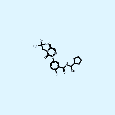 CC(C)(O)Cn1c(=O)cnn(-c2ccc(Cl)c(C(=O)NC(O)C3CCCC3)c2)c1=O